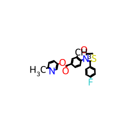 Cc1ccc(OC(=O)c2ccc(N3C(=O)CSC3c3ccc(F)cc3)c(C)c2)cn1